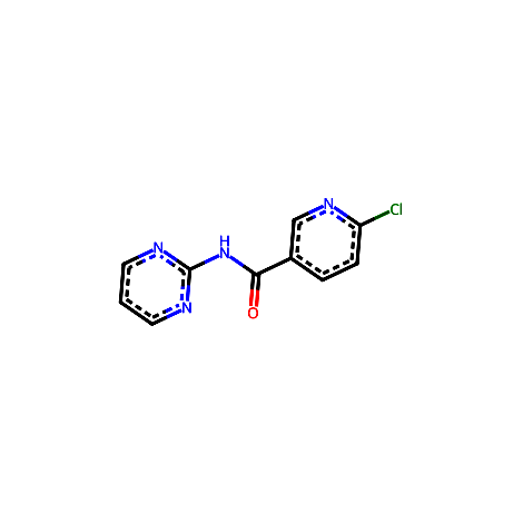 O=C(Nc1ncccn1)c1ccc(Cl)nc1